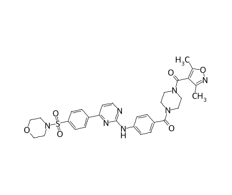 Cc1noc(C)c1C(=O)N1CCN(C(=O)c2ccc(Nc3nccc(-c4ccc(S(=O)(=O)N5CCOCC5)cc4)n3)cc2)CC1